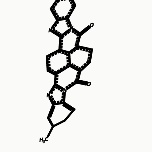 CC1C=c2nc3c4ccc5c6c(ccc(c(=O)n3c2=CC1)c46)c(=O)n1c2ccccc2nc51